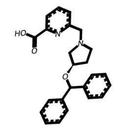 O=C(O)c1cccc(CN2CC[C@@H](OC(c3ccccc3)c3ccccc3)C2)n1